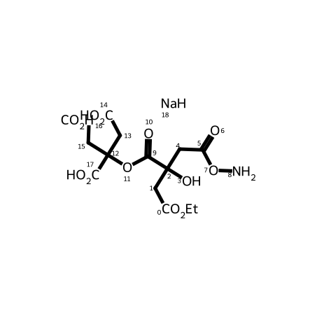 CCOC(=O)CC(O)(CC(=O)ON)C(=O)OC(CC(=O)O)(CC(=O)O)C(=O)O.[NaH]